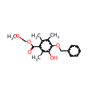 COCOC(=O)c1c(C)c(C)c(OCc2ccccc2)c(O)c1C